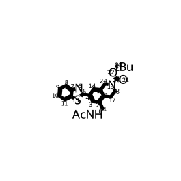 CC(=O)NCc1cc(-c2nc3ccccc3s2)cc2c1CCN(C(=O)OC(C)(C)C)C2